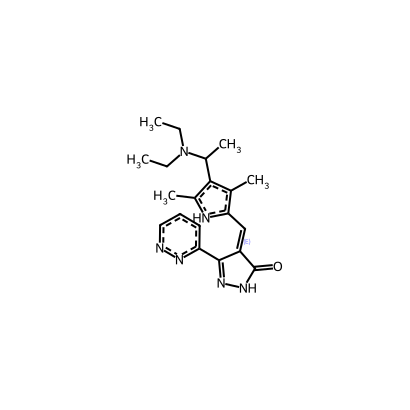 CCN(CC)C(C)c1c(C)[nH]c(/C=C2/C(=O)NN=C2c2cccnn2)c1C